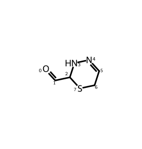 O=CC1NN=CCS1